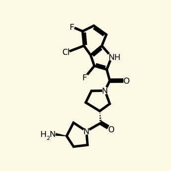 N[C@@H]1CCN(C(=O)[C@@H]2CCN(C(=O)c3[nH]c4ccc(F)c(Cl)c4c3F)C2)C1